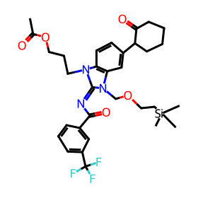 CC(=O)OCCCn1/c(=N/C(=O)c2cccc(C(F)(F)F)c2)n(COCC[Si](C)(C)C)c2cc(C3CCCCC3=O)ccc21